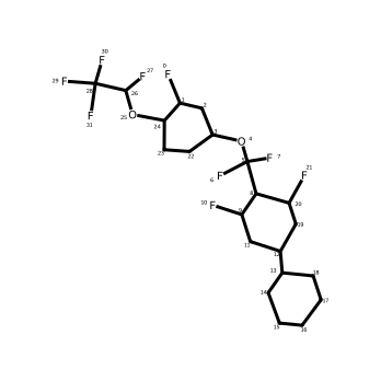 FC1CC(OC(F)(F)C2C(F)CC(C3CCCCC3)CC2F)CCC1OC(F)C(F)(F)F